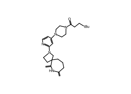 C=C1CCCC2(CCN(c3cc(N4CCN(C(=O)CCC(C)(C)C)CC4)ccn3)C2)C(=C)N1